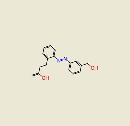 C=C(O)CCc1ccccc1/N=N/c1cccc(CO)c1